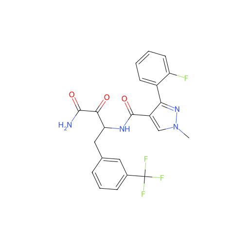 Cn1cc(C(=O)NC(Cc2cccc(C(F)(F)F)c2)C(=O)C(N)=O)c(-c2ccccc2F)n1